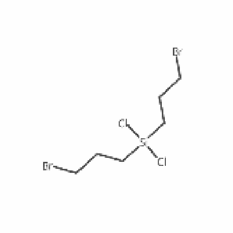 Cl[Si](Cl)(CCCBr)CCCBr